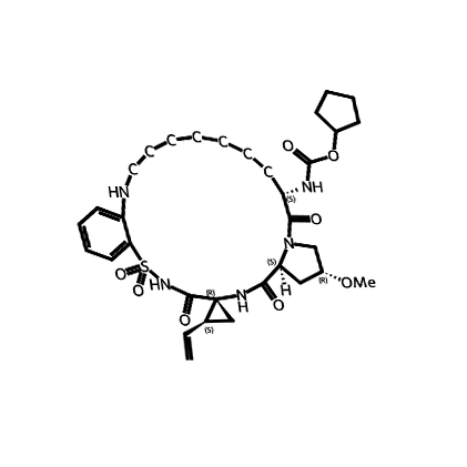 C=C[C@@H]1C[C@@]12NC(=O)[C@@H]1C[C@@H](OC)CN1C(=O)[C@@H](NC(=O)OC1CCCC1)CCCCCCCNc1ccccc1S(=O)(=O)NC2=O